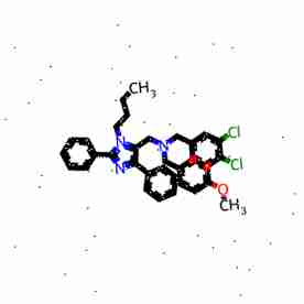 CCCCn1c(-c2ccccc2)nc(-c2ccccc2)c1CN(Cc1ccc(OC)cc1)Cc1ccc(Cl)c(Cl)c1